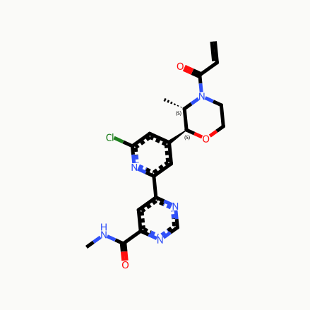 C=CC(=O)N1CCO[C@@H](c2cc(Cl)nc(-c3cc(C(=O)NC)ncn3)c2)[C@@H]1C